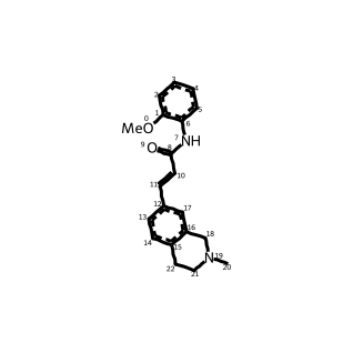 COc1ccccc1NC(=O)C=Cc1ccc2c(c1)CN(C)CC2